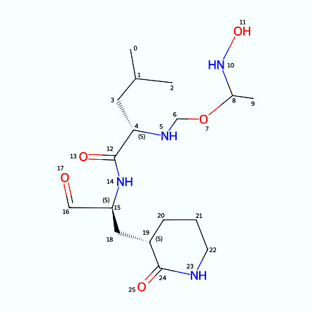 CC(C)C[C@H](NCOC(C)NO)C(=O)N[C@H](C=O)C[C@@H]1CCCNC1=O